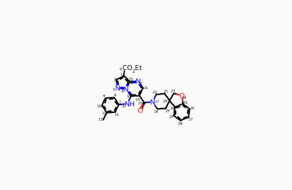 CCOC(=O)c1cnn2c(Nc3cccc(C)c3)c(C(=O)N3CCC4(CC3)COc3ccccc34)cnc12